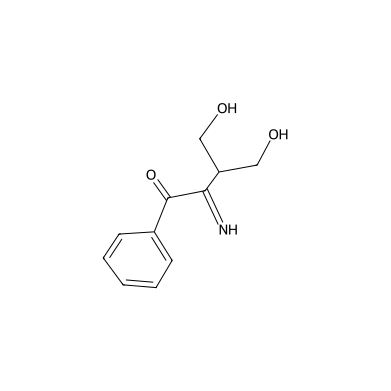 N=C(C(=O)c1ccccc1)C(CO)CO